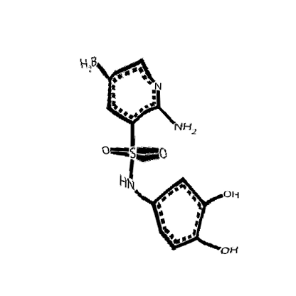 Bc1cnc(N)c(S(=O)(=O)Nc2ccc(O)c(O)c2)c1